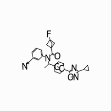 CC(N(C(=O)C12CC(F)(C1)C2)c1cccc(C#N)c1)C12CCC(c3nc(C4CC4)no3)(CC1)CC2